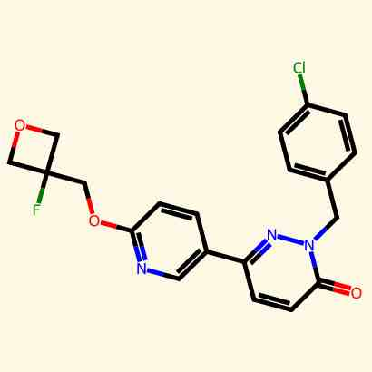 O=c1ccc(-c2ccc(OCC3(F)COC3)nc2)nn1Cc1ccc(Cl)cc1